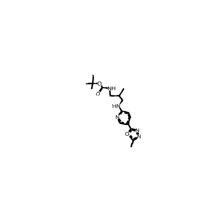 Cc1nnc(-c2ccc(NCC(C)CNC(=O)OC(C)(C)C)nc2)o1